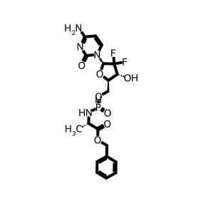 C[C@H](N[PH](=O)OC[C@H]1O[C@@H](n2ccc(N)nc2=O)C(F)(F)[C@@H]1O)C(=O)OCc1ccccc1